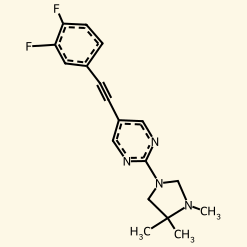 CN1CN(c2ncc(C#Cc3ccc(F)c(F)c3)cn2)CC1(C)C